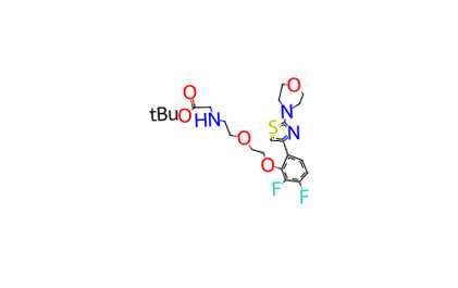 CC(C)(C)OC(=O)CNCCOCCOc1c(-c2csc(N3CCOCC3)n2)ccc(F)c1F